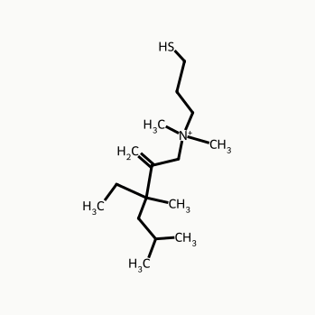 C=C(C[N+](C)(C)CCCS)C(C)(CC)CC(C)C